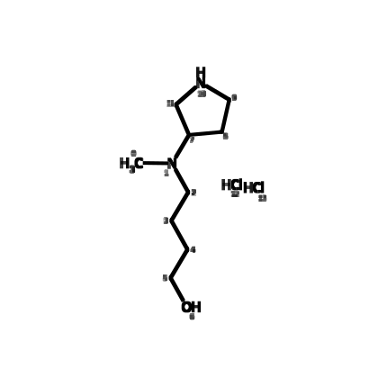 CN(CCCCO)C1CCNC1.Cl.Cl